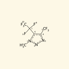 Cn1nnc(C(F)(F)F)c1C(F)(F)C(F)(F)F